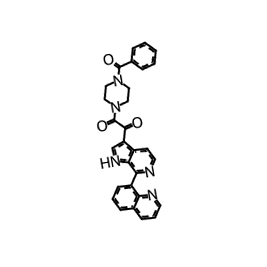 O=C(C(=O)N1CCN(C(=O)c2ccccc2)CC1)c1c[nH]c2c(-c3cccc4cccnc34)nccc12